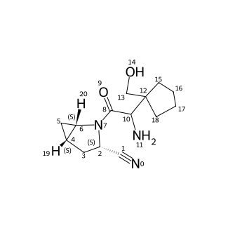 N#C[C@@H]1C[C@@H]2C[C@@H]2N1C(=O)C(N)C1(CO)CCCC1